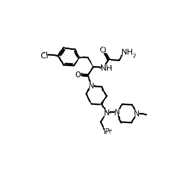 CC(C)CN(C1CCN(C(=O)[C@@H](Cc2ccc(Cl)cc2)NC(=O)CN)CC1)N1CCN(C)CC1